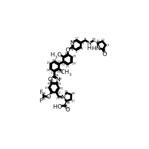 Cc1c(Oc2ccc(CNC[C@@H]3CCC(=O)N3)cn2)cccc1-c1cccc(-c2nc3cc(CN4CCC[C@H]4C(=O)O)c(OC(F)F)cc3o2)c1C